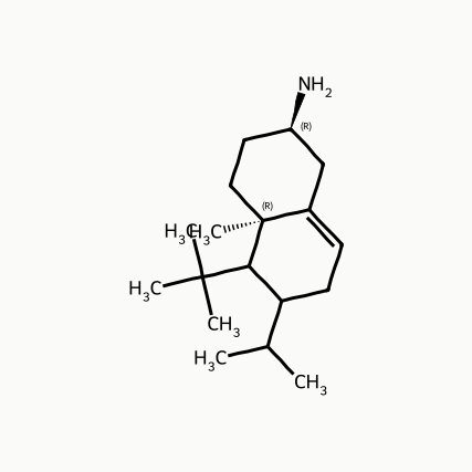 CC(C)C1CC=C2C[C@H](N)CC[C@]2(C)C1C(C)(C)C